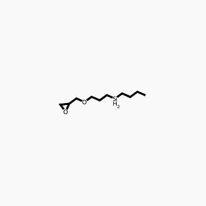 CCCC[SiH2]CCCOCC1CO1